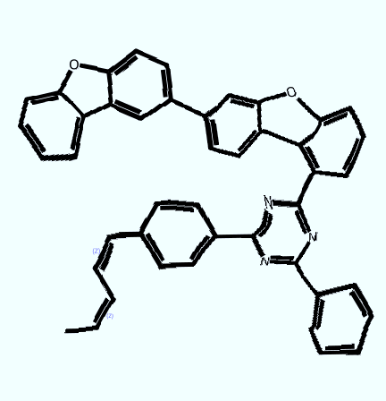 C/C=C\C=C/c1ccc(-c2nc(-c3ccccc3)nc(-c3cccc4oc5cc(-c6ccc7oc8ccccc8c7c6)ccc5c34)n2)cc1